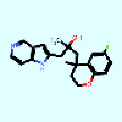 CC1(CC(O)(Cc2cc3cnccc3[nH]2)C(F)(F)F)CCOc2ccc(F)cc21